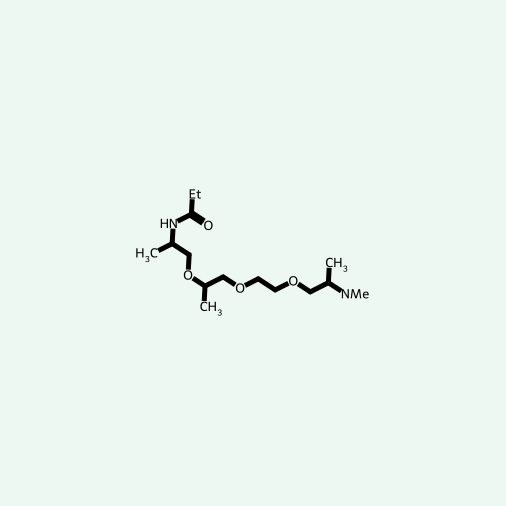 CCC(=O)NC(C)COC(C)COCCOCC(C)NC